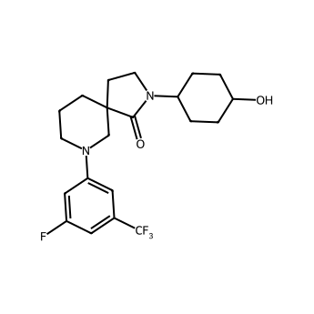 O=C1N(C2CCC(O)CC2)CCC12CCCN(c1cc(F)cc(C(F)(F)F)c1)C2